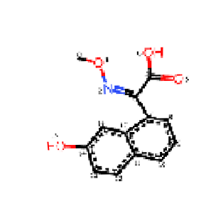 CON=C(C(=O)O)c1cccc2ccc(O)cc12